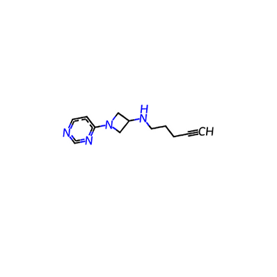 C#CCCCNC1CN(c2ccncn2)C1